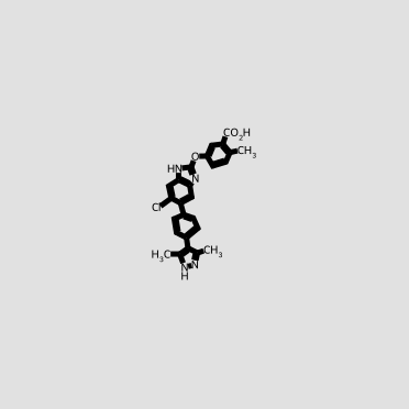 Cc1ccc(Oc2nc3cc(-c4ccc(-c5c(C)n[nH]c5C)cc4)c(Cl)cc3[nH]2)cc1C(=O)O